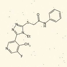 CCn1c(SCC(=O)Nc2ccccc2)nnc1-c1cncc(F)c1C